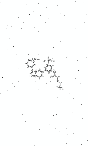 CNc1cc(-c2c[nH]c3ncc(-c4cc(NC(=O)/C=C/CN(C)C)cc(C(F)(F)F)c4)cc23)ccn1